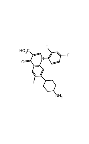 NC1CCC(c2cc3c(cc2F)c(=O)c(C(=O)O)cn3-c2ccc(F)cc2F)CC1